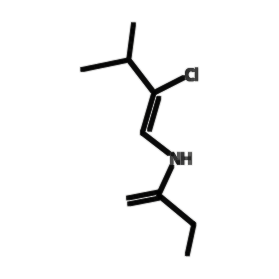 C=C(CC)N/C=C(\Cl)C(C)C